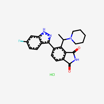 CC(c1c(-c2n[nH]c3cc(F)ccc23)ccc2c1C(=O)NC2=O)N1CCCCC1.Cl